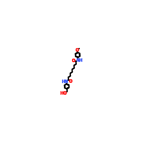 COc1ccc(NC(=O)CCCCCCCCC(=O)Nc2ccc(CO)cc2)cc1